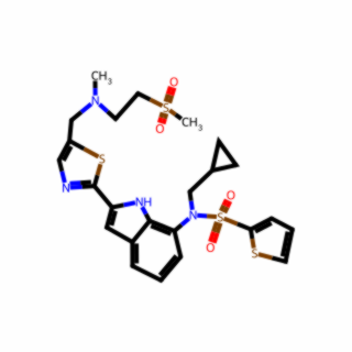 CN(CCS(C)(=O)=O)Cc1cnc(-c2cc3cccc(N(CC4CC4)S(=O)(=O)c4cccs4)c3[nH]2)s1